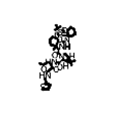 CCCC(NC(=O)[C@@H]1[C@@H]2[C@H](CN1C(=O)[C@@H](NC(=O)NC1(CS(=O)(=O)C(C)(C)C)CCCCC1)C1(C)CCCCC1)C2(C)C)C(=O)C(=O)NCc1cccs1